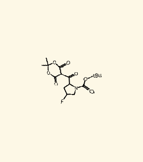 CC(C)(C)OC(=O)N1CC(F)CC1C(=O)C1C(=O)OC(C)(C)OC1=O